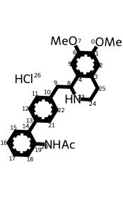 COc1cc2c(cc1OC)C(Cc1ccc(-c3ccccc3NC(C)=O)cc1)NCC2.Cl